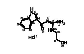 Cl.NC(=NC(=O)c1c[nH]c2ccccc12)NCCO